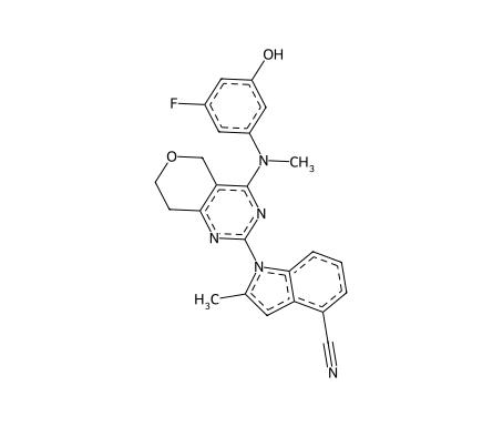 Cc1cc2c(C#N)cccc2n1-c1nc2c(c(N(C)c3cc(O)cc(F)c3)n1)COCC2